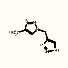 O=C(O)c1cn(Cc2c[nH]nn2)nn1